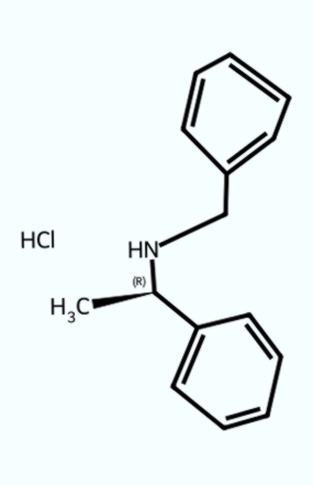 C[C@@H](NCc1ccccc1)c1ccccc1.Cl